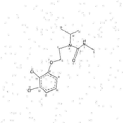 CNC(=O)N(CCOc1cccc(Cl)c1Cl)C(C)C